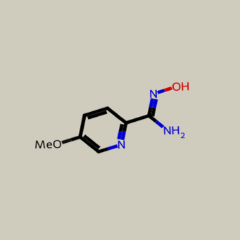 COc1ccc(C(N)=NO)nc1